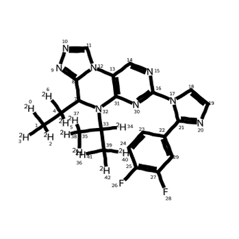 [2H]C([2H])([2H])C([2H])([2H])C1c2nncn2-c2cnc(-n3ccnc3-c3ccc(F)c(F)c3)nc2N1C([2H])(C([2H])([2H])[2H])C([2H])([2H])[2H]